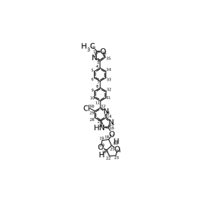 Cc1nc(-c2ccc(-c3ccc(-c4nc5nc(OC6CO[C@@H]7CCO[C@H]67)[nH]c5cc4Cl)cc3)cc2)co1